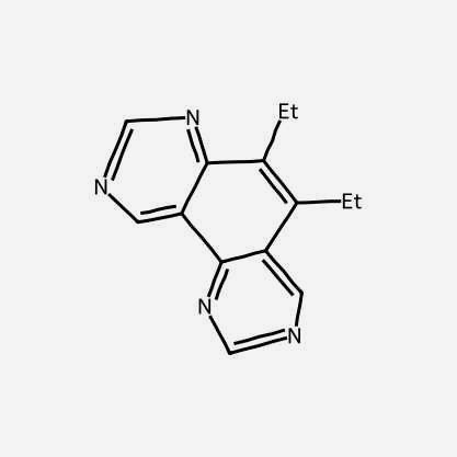 CCc1c(CC)c2ncncc2c2ncncc12